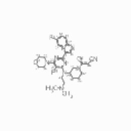 CN(C)CCN(c1nc(-c2cnc3ccc(F)cn23)nc(N2CCOCC2)c1F)C1CCCN(C(=O)CC#N)C1